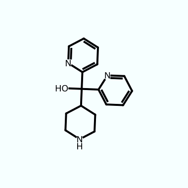 OC(c1ccccn1)(c1ccccn1)C1CCNCC1